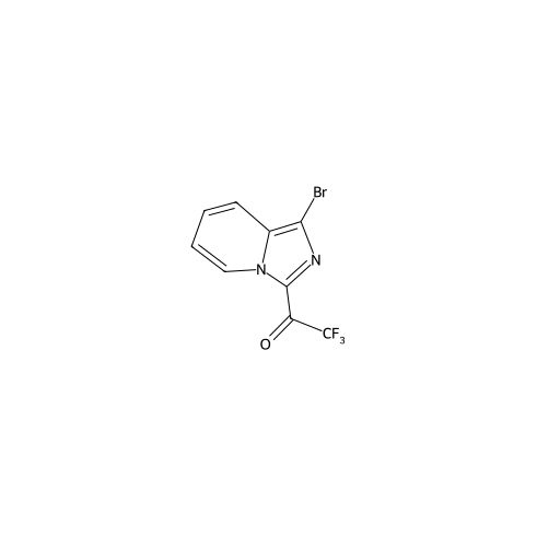 O=C(c1nc(Br)c2ccccn12)C(F)(F)F